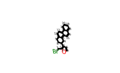 BrCc1occc1C1CCc2ccc3c(ccc4ccccc43)c2C1